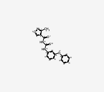 Cc1nocc1C(=O)NC(=S)Nc1cccc(Oc2ccccc2)c1